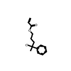 C=CC(=O)OCCCC(C)(Cl)c1ccccc1